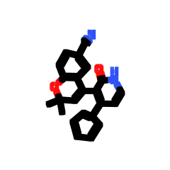 CC1(C)C=C(c2c(-c3ccccc3)cc[nH]c2=O)c2cc(C#N)ccc2O1